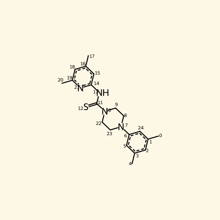 Cc1cc(C)cc(N2CCN(C(=S)Nc3cc(C)cc(C)n3)CC2)c1